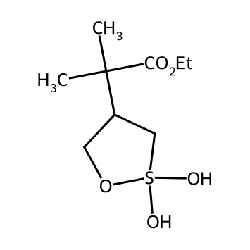 CCOC(=O)C(C)(C)C1COS(O)(O)C1